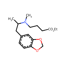 CCOC(=O)CCCN(C)C(C)Cc1ccc2c(c1)OCO2